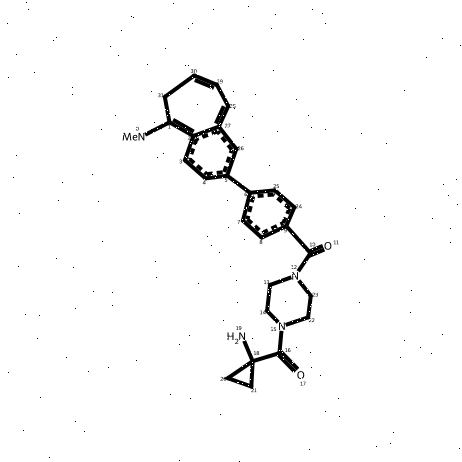 CNC1=c2ccc(-c3ccc(C(=O)N4CCN(C(=O)C5(N)CC5)CC4)cc3)cc2=CC=CC1